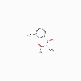 Cc1cccc(C(=O)N(C)C(=O)C(C)C)c1